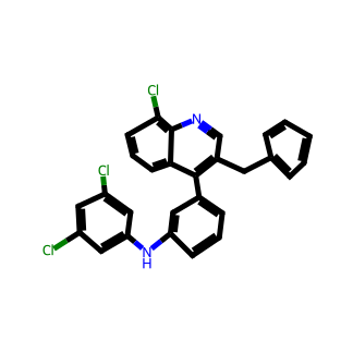 Clc1cc(Cl)cc(Nc2cccc(-c3c(Cc4ccccc4)cnc4c(Cl)cccc34)c2)c1